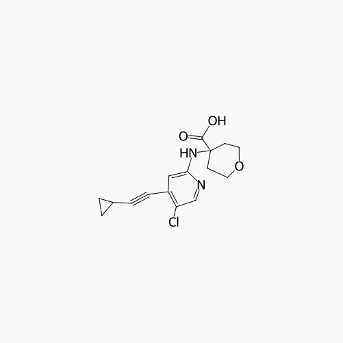 O=C(O)C1(Nc2cc(C#CC3CC3)c(Cl)cn2)CCOCC1